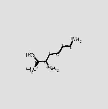 C=C(O)C(N)CCCCN